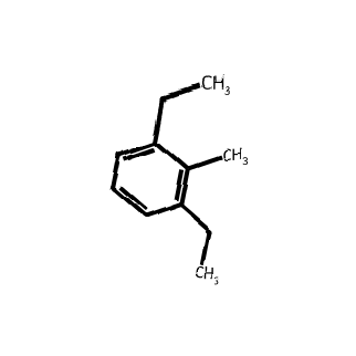 CCc1cccc(CC)c1C